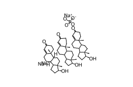 C[C@]12CCC(=O)C=C1CCC1C2CC[C@@]2(C)C1CC[C@@H]2O.C[C@]12CCC(=O)C=C1CCC1C2CC[C@@]2(C)C1CC[C@@H]2O.C[C@]12CCC(=O)C=C1CC[C@@H]1C3CC[C@H](O)[C@@]3(C)CC[C@H]12.O=P([O-])([O-])[O-].[Na+].[Na+].[Na+]